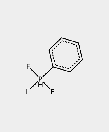 F[PH](F)(F)c1ccccc1